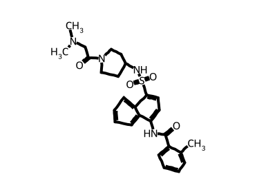 Cc1ccccc1C(=O)Nc1ccc(S(=O)(=O)NC2CCN(C(=O)CN(C)C)CC2)c2ccccc12